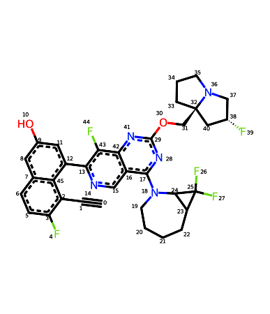 C#Cc1c(F)ccc2cc(O)cc(-c3ncc4c(N5CCCCC6C5C6(F)F)nc(OC[C@@]56CCCN5C[C@H](F)C6)nc4c3F)c12